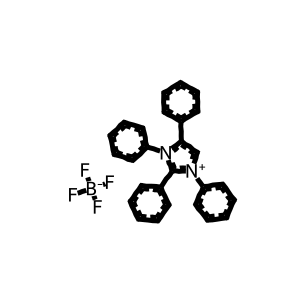 F[B-](F)(F)F.c1ccc(-c2c[n+](-c3ccccc3)c(-c3ccccc3)n2-c2ccccc2)cc1